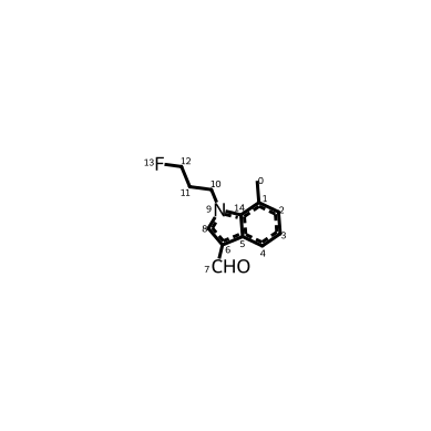 Cc1cccc2c(C=O)cn(CCCF)c12